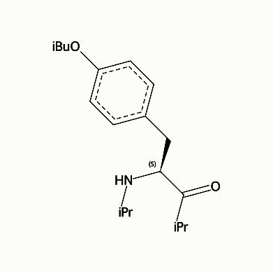 CC(C)COc1ccc(C[C@H](NC(C)C)C(=O)C(C)C)cc1